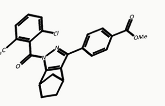 COC(=O)c1ccc(-c2nn(C(=O)c3c(Cl)cccc3C(F)(F)F)c3c2C2CCC3C2)cc1